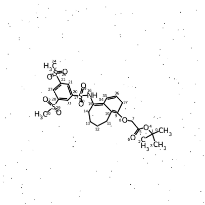 CC(C)(C)OC(=O)COC1=C2CCCCC(NS(=O)(=O)c3cc(S(C)(=O)=O)cc(S(C)(=O)=O)c3)=C2C=CC1